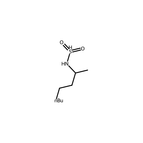 CCCCCCC(C)N[SH](=O)=O